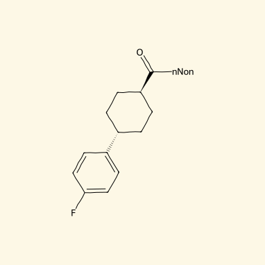 CCCCCCCCCC(=O)[C@H]1CC[C@H](c2ccc(F)cc2)CC1